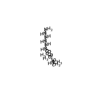 CC(C)NC(=O)CCC[C@H]1CCC2C3CCC4C[C@@H](NCCNCCNCCNCCNCCN)CC[C@]4(C)C3CC[C@@]21C